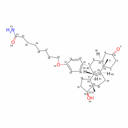 C[C@]12CCC(=O)C[C@@H]1C[C@@H](c1ccc(OCCCCCCCC(N)=O)cc1)[C@@H]1[C@@H]2CC[C@]2(C)[C@@H](O)CC[C@@H]12